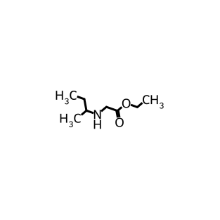 CCOC(=O)CNC(C)CC